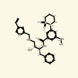 C=Cc1csc(CNC[C@@H](O)[C@H](Cc2ccccc2)NC(=O)c2cc(NCC)cc(N3CCCCS3(=O)=O)c2)c1